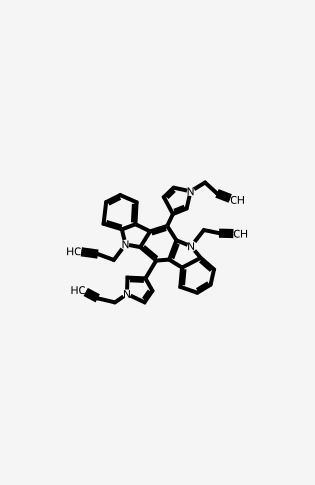 C#CCn1ccc(-c2c3c4ccccc4n(CC#C)c3c(-c3ccn(CC#C)c3)c3c4ccccc4n(CC#C)c23)c1